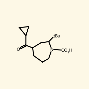 CC(C)(C)C1CC(C(=O)C2CC2)CCCN1C(=O)O